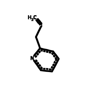 C=ICc1ccccn1